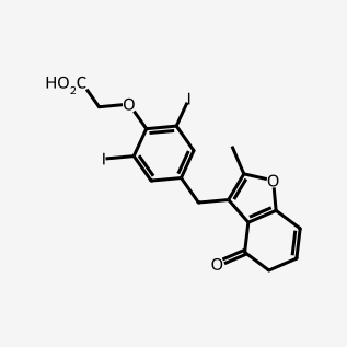 Cc1oc2c(c1Cc1cc(I)c(OCC(=O)O)c(I)c1)C(=O)CC=C2